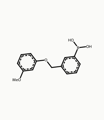 COc1cccc(OCc2cccc(B(O)O)c2)c1